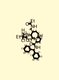 CCC(=O)NC[C@H]1CC[C@H]2CC[C@@H](C(=O)NC(c3ccccc3)c3ccccc3)N2C(=O)[C@H]1NC(=O)[C@](N)(Cl)CC